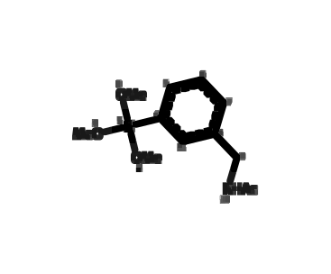 CO[Si](OC)(OC)c1cccc(CNC(C)=O)c1